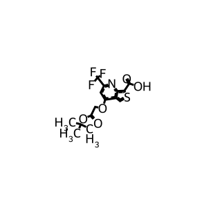 CC(C)(C)OC(=O)COc1cc(C(F)(F)F)nc2c(C(=O)O)scc12